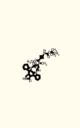 CO[C@@H]1[C@H](N(C)C(=O)C23CC(NC(=O)OC(C)(C)C)(C2)C3)C[C@H]2O[C@]1(C)n1c3ccccc3c3c4c(c5c6ccccc6n2c5c31)C(=O)NC4